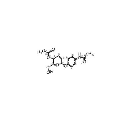 CC(=O)Nc1ccc(O[C@@H]2C=C[C@H](OC(C)=O)C(CO)O2)cc1